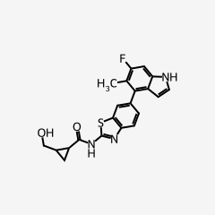 Cc1c(F)cc2[nH]ccc2c1-c1ccc2nc(NC(=O)C3CC3CO)sc2c1